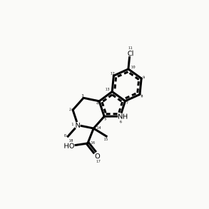 CN1CCc2c([nH]c3ccc(Cl)cc23)C1(C)C(=O)O